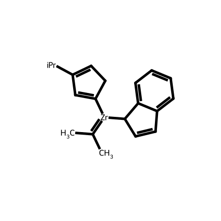 C[C](C)=[Zr]([C]1=CC(C(C)C)=CC1)[CH]1C=Cc2ccccc21